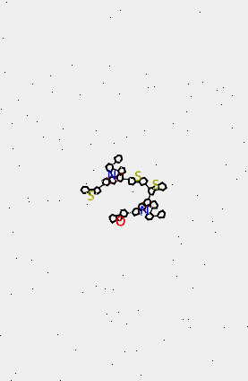 c1ccc(-c2ccccc2-c2c(-c3ccccc3)cccc2N(c2ccc(-c3ccc4c(c3)sc3ccc(-c5cc(-c6ccc(N(c7ccc(-c8ccc9c(c8)oc8ccccc89)cc7)c7cccc(-c8ccccc8)c7-c7ccccc7-c7ccccc7)cc6)cc6c5sc5ccccc56)cc34)cc2)c2ccc(-c3ccc4sc5ccccc5c4c3)cc2)cc1